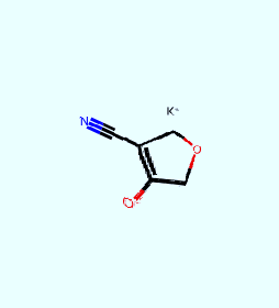 N#CC1=C([O-])COC1.[K+]